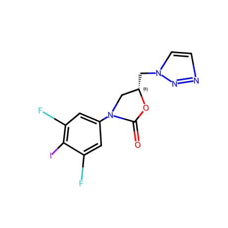 O=C1O[C@@H](Cn2ccnn2)CN1c1cc(F)c(I)c(F)c1